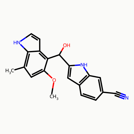 COc1cc(C)c2[nH]ccc2c1C(O)c1cc2ccc(C#N)cc2[nH]1